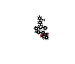 N#Cc1ccccc1-c1ccc(C2=NC(c3nccc4sc5ccc(-c6ccc7c(c6)C6(c8ccccc8Sc8ccccc86)c6ccccc6-7)cc5c34)=C=CC(c3ccccc3)=N2)cc1